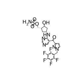 NS(=O)(=O)OC[C@H]1C[C@@H](Nc2ncncc2C(=O)c2ccn(Cc3c(F)c(F)c(F)c(F)c3F)n2)C[C@@H]1O